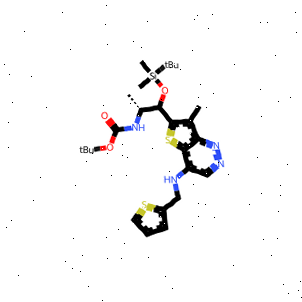 Cc1c(C(O[Si](C)(C)C(C)(C)C)[C@@H](C)NC(=O)OC(C)(C)C)sc2c(NCc3cccs3)cnnc12